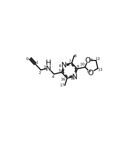 C#CCNCc1nc(C)c(C2OCCO2)nc1C